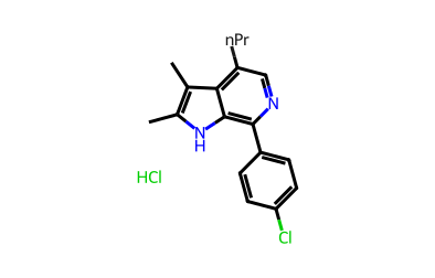 CCCc1cnc(-c2ccc(Cl)cc2)c2[nH]c(C)c(C)c12.Cl